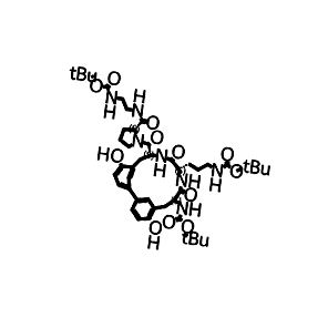 CC(C)(C)OC(=O)NCCC[C@@H]1NC(=O)[C@@H](NC(=O)OC(C)(C)C)Cc2cc(ccc2O)-c2ccc(O)c(c2)C[C@@H](C(=O)N2CCC[C@H]2C(=O)NCCNC(=O)OC(C)(C)C)NC1=O